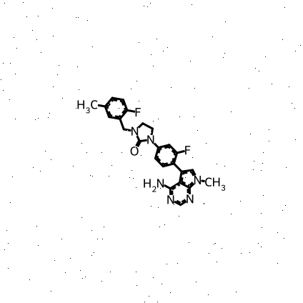 Cc1ccc(F)c(CN2CCN(c3ccc(-c4cn(C)c5ncnc(N)c45)c(F)c3)C2=O)c1